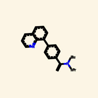 C=C(c1ccc(-c2cccc3cccnc23)cc1)N(CCC)C(C)CC